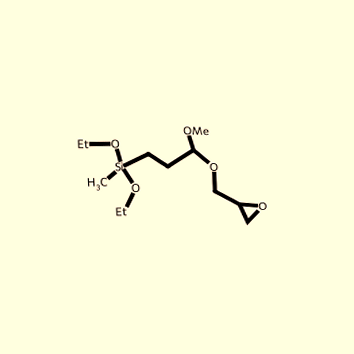 CCO[Si](C)(CCC(OC)OCC1CO1)OCC